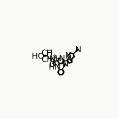 CC(C)(O)[C@H](F)CNC(=O)c1cnc(-c2ccc3cc(C#N)cnn23)cc1Nc1ccccc1C#N